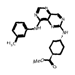 COC(=O)[C@H]1CC[C@H](Nc2ncc3ncnc(Nc4cccc(C)c4)c3n2)CC1